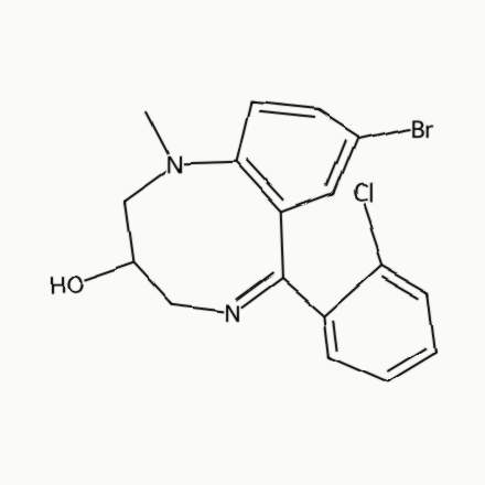 CN1CC(O)CN=C(c2ccccc2Cl)c2cc(Br)ccc21